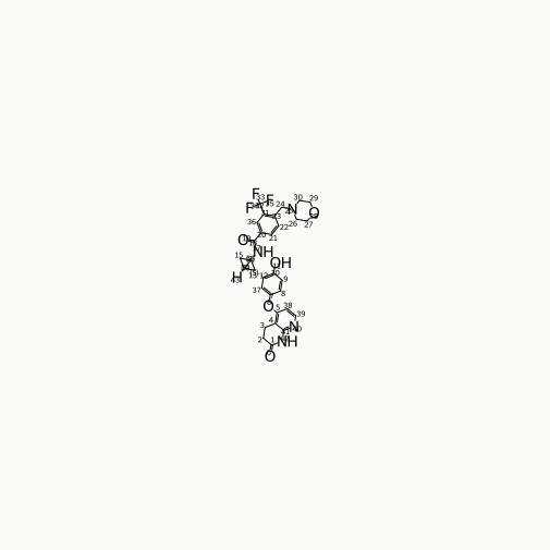 O=C1CCc2c(Oc3ccc(O)c([C@@H]4[C@@H]5C[C@@]45NC(=O)c4ccc(CN5CCOCC5)c(C(F)(F)F)c4)c3)ccnc2N1